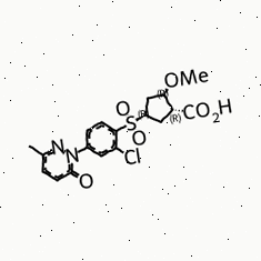 CO[C@@H]1C[C@H](S(=O)(=O)c2ccc(-n3nc(C)ccc3=O)cc2Cl)C[C@H]1C(=O)O